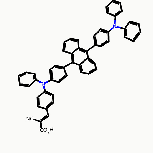 N#C/C(=C\c1ccc(N(c2ccccc2)c2ccc(-c3c4ccccc4c(-c4ccc(N(c5ccccc5)c5ccccc5)cc4)c4ccccc34)cc2)cc1)C(=O)O